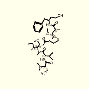 CC[C@H](C)[C@@H]([C@@H](CC(=O)N1CCC[C@H]1[C@H](OC)[C@@H](C)C(=O)NC(CCO)Cc1ccccc1)OC)N(C)C(=O)[C@@H](NC(=O)[C@H](CO)N(C)C)C(C)C